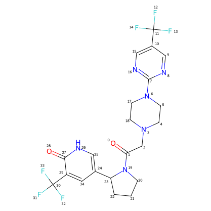 O=C(CN1CCN(c2ncc(C(F)(F)F)cn2)CC1)N1CCCC1c1c[nH]c(=O)c(C(F)(F)F)c1